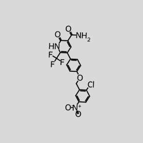 NC(=O)c1cc(-c2ccc(OCc3cc([N+](=O)[O-])ccc3Cl)cc2)c(C(F)(F)F)[nH]c1=O